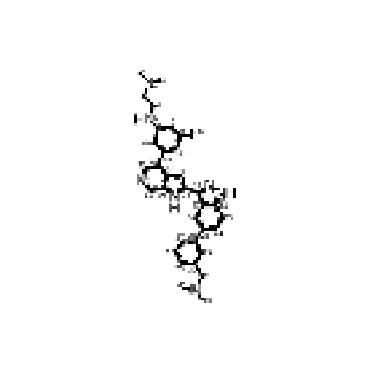 CN(C)CCNc1cc(F)cc(-c2cncc3[nH]c(-c4n[nH]c5ccc(-c6cccc(CN(C)C)c6)cc45)cc23)c1